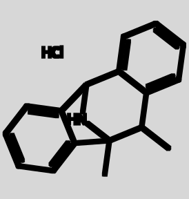 CC1c2ccccc2C2NC1(C)c1ccccc12.Cl